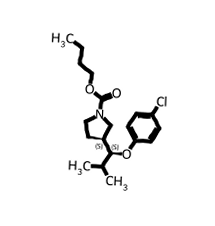 CCCCOC(=O)N1CC[C@H]([C@@H](Oc2ccc(Cl)cc2)C(C)C)C1